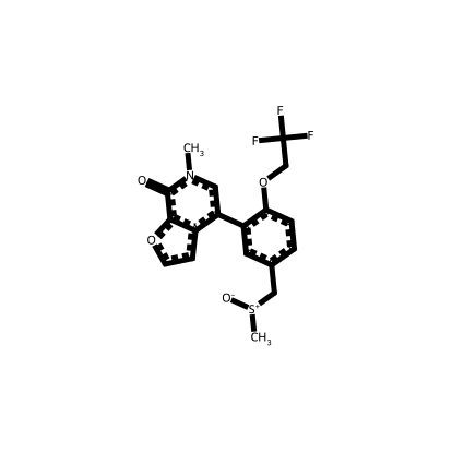 Cn1cc(-c2cc(C[S+](C)[O-])ccc2OCC(F)(F)F)c2ccoc2c1=O